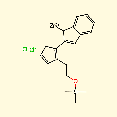 C[Si](C)(C)OCCC1=C(C2=Cc3ccccc3[CH]2[Zr+2])CC=C1.[Cl-].[Cl-]